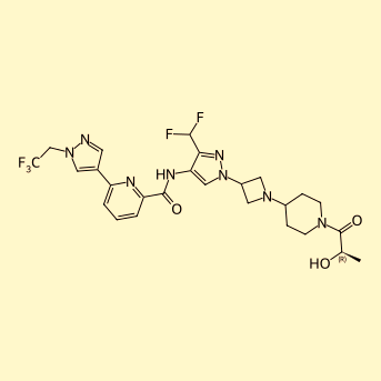 C[C@@H](O)C(=O)N1CCC(N2CC(n3cc(NC(=O)c4cccc(-c5cnn(CC(F)(F)F)c5)n4)c(C(F)F)n3)C2)CC1